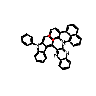 c1ccc(-n2c3ccccc3c3c(-c4nc5ccccc5nc4N4c5ccccc5-c5cccc6cccc4c56)cccc32)cc1